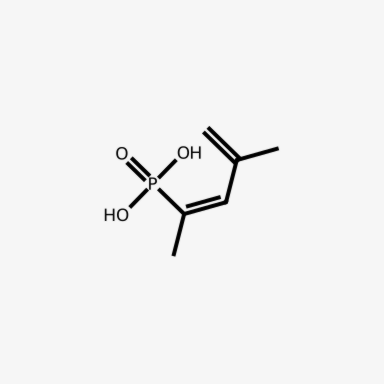 C=C(C)/C=C(/C)P(=O)(O)O